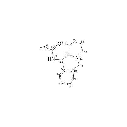 CCCC(=O)NC1c2ccccc2CN2CCCCC12